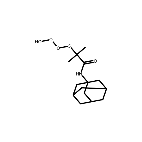 CC(C)(SOOO)C(=O)NC12CC3CC(CC(C3)C1)C2